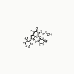 CCC1=C(c2nc3c(c(=O)n(CCCO)c(=O)n3C)n2CC2=C=C=C(F)C=C2)CCC=C1